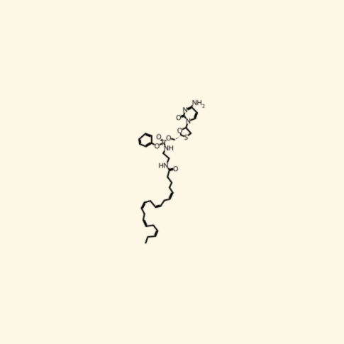 CC/C=C\C/C=C\C/C=C\C/C=C\C/C=C\CCCC(=O)NCCNP(=O)(OC[C@@H]1OC(n2ccc(N)nc2=O)CS1)Oc1ccccc1